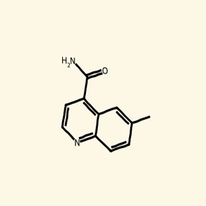 Cc1ccc2nccc(C(N)=O)c2c1